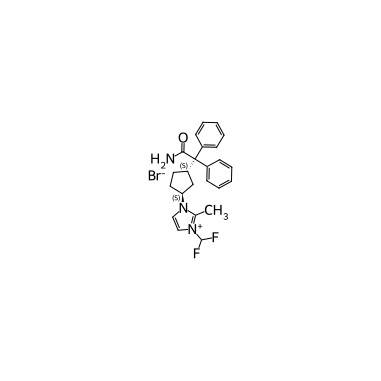 Cc1n([C@H]2CC[C@H](C(C(N)=O)(c3ccccc3)c3ccccc3)C2)cc[n+]1C(F)F.[Br-]